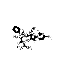 CC(C)OC(=O)[C@H](C)NP(=O)(OCC1(N=[N+]=[N-])OC(n2ccc(N)nc2=O)C(F)C1O)Oc1ccccc1